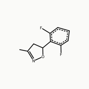 CC1=NOC(c2c(F)cccc2F)C1